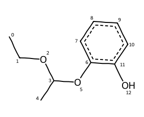 CCOC(C)Oc1ccccc1O